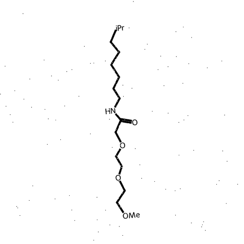 COCCOCCOCC(=O)NCCCCCCC(C)C